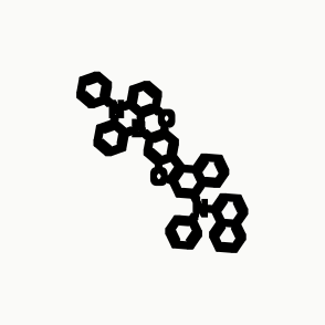 c1ccc(N2c3ccccc3B3c4cc5oc6cc(N(c7ccccc7)c7cccc8ccccc78)c7ccccc7c6c5cc4Oc4cccc2c43)cc1